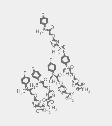 CCN(C(=O)COc1nc(S(C)(=O)=O)ns1)c1ccc(F)cc1.CCN(C(=O)COc1nc([S+](C)[O-])ns1)c1ccc(F)cc1.CCS(=O)(=O)c1nsc(OCC(=O)N(C)c2ccc(F)cc2)n1.CN(C(=O)COc1nc(S(C)(=O)=O)ns1)c1ccc(F)cc1.CN(C(=O)COc1nc([S+](C)[O-])ns1)c1ccc(F)cc1